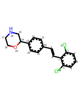 Clc1cccc(Cl)c1C=Cc1ccc(C2CNCCO2)cc1